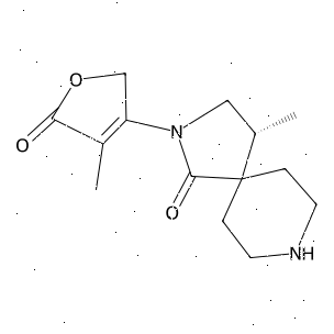 CC1=C(N2C[C@H](C)C3(CCNCC3)C2=O)COC1=O